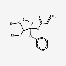 C=CC(=O)OC(OCC)(Oc1ccccc1)C(OCC)OCC